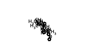 Cc1cc(Oc2ccccc2)ccc1N1C(=O)Nc2c(C(=O)N[C@@H]3CCCC[C@H]3NC(=O)CN(C)C(=O)OC(C)(C)C)sc3nccc1c23